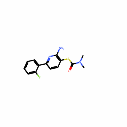 CN(C)C(=O)Sc1ccc(-c2ccccc2F)nc1N